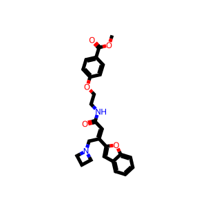 COC(=O)c1ccc(OCCNC(=O)C=C(CN2CCC2)c2cc3ccccc3o2)cc1